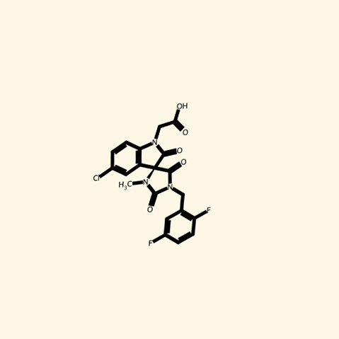 CN1C(=O)N(Cc2cc(F)ccc2F)C(=O)[C@]12C(=O)N(CC(=O)O)c1ccc(Cl)cc12